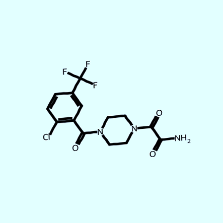 NC(=O)C(=O)N1CCN(C(=O)c2cc(C(F)(F)F)ccc2Cl)CC1